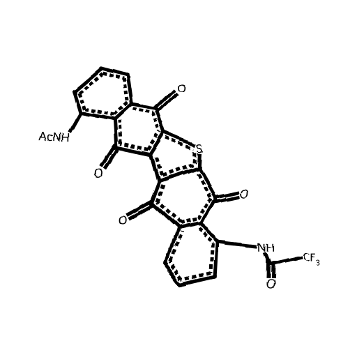 CC(=O)Nc1cccc2c(=O)c3sc4c(=O)c5c(NC(=O)C(F)(F)F)cccc5c(=O)c4c3c(=O)c12